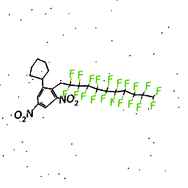 O=[N+]([O-])c1cc(C2CCCCC2)c([CH]C(F)(F)C(F)(F)C(F)(F)C(F)(F)C(F)(F)C(F)(F)C(F)(F)C(F)(F)C(F)(F)C(F)F)c([N+](=O)[O-])c1